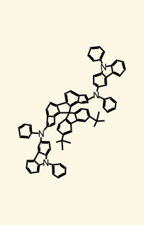 CC(C)(C)c1ccc2c(c1)-c1cc(C(C)(C)C)ccc1C21c2c(ccc3cc(N(c4ccccc4)c4ccc5c(c4)c4ccccc4n5-c4ccccc4)ccc23)-c2ccc3cc(N(c4ccccc4)c4ccc5c(c4)c4ccccc4n5-c4ccccc4)ccc3c21